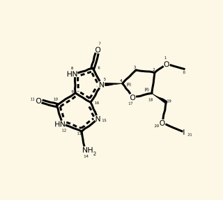 COC1C[C@H](n2c(=O)[nH]c3c(=O)[nH]c(N)nc32)O[C@@H]1COI